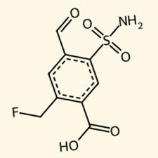 NS(=O)(=O)c1cc(C(=O)O)c(CF)cc1C=O